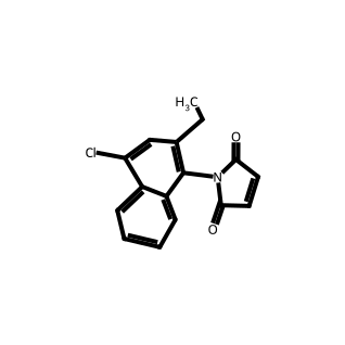 CCc1cc(Cl)c2ccccc2c1N1C(=O)C=CC1=O